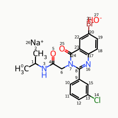 CC(C)NC(=O)Cn1c(-c2cccc(Cl)c2)nc2ccc(Br)cc2c1=O.[Na+].[OH-]